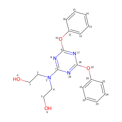 OCCN(CCO)c1nc(Oc2ccccc2)nc(Oc2ccccc2)n1